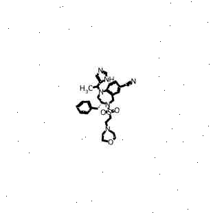 CC(c1cnc[nH]1)N1C[C@@H](Cc2ccccc2)N(S(=O)(=O)CCN2CCOCC2)Cc2cc(C#N)ccc21